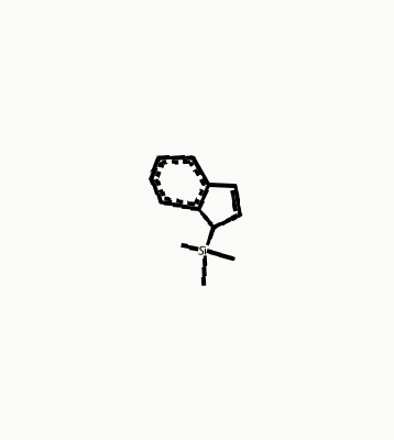 C[Si](C)(C)C1[C]=Cc2ccccc21